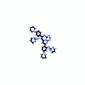 C1=NC2=NC(c3ccc(N4CCCCC4)cc3Nc3ncccn3)=CC3=CC(c4ccc(N5CCCCC5)cc4Nc4ncccn4)=NC(=N1)N32